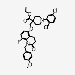 CCOC(=O)C1(COc2ccc(F)c3c2CCC(=O)N3Cc2ccc(OC)cc2)CCN(c2cc(Cl)ccc2Cl)CC1